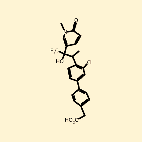 CC(c1ccc(-c2ccc(CC(=O)O)cc2)cc1Cl)C(O)(c1ccc(=O)n(C)c1)C(F)(F)F